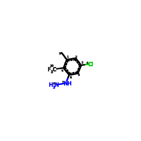 Cc1cc(Cl)cc(NN)c1C(F)(F)F